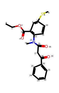 CCOC(=O)c1cc(SC)ccc1N(C)C(=O)CC(=O)c1ccccc1